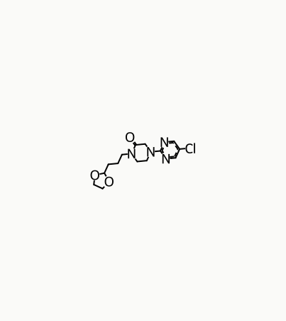 O=C1CN(c2ncc(Cl)cn2)CCN1CCCC1OCCO1